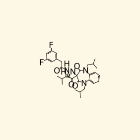 CC(C)CN1C(=O)C(N)(C(=O)[C@@H](NC(=O)Cc2cc(F)cc(F)c2)C(C)C)C(=O)N(CC(C)C)c2ccccc21